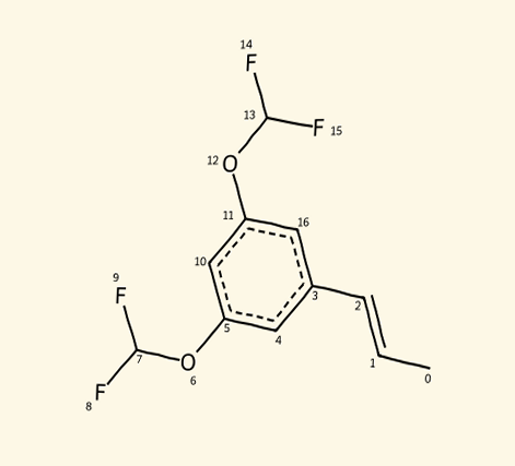 CC=Cc1cc(OC(F)F)cc(OC(F)F)c1